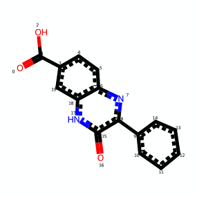 O=C(O)c1ccc2nc(-c3ccccc3)c(=O)[nH]c2c1